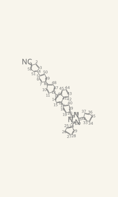 N#Cc1ccc(-c2ccc(-c3ccc(-c4ccc(-c5ccc(-c6nc(-c7ccccc7)nc(-c7ccccc7)n6)cc5)c5ccccc45)cc3)cc2)cc1